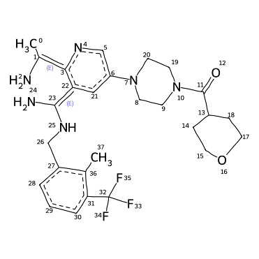 C/C(N)=c1\ncc(N2CCN(C(=O)C3CCOCC3)CC2)c\c1=C(\N)NCc1cccc(C(F)(F)F)c1C